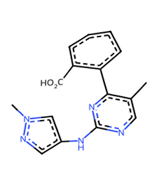 Cc1cnc(Nc2cnn(C)c2)nc1-c1ccccc1C(=O)O